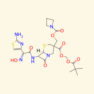 CC(C)(C)C(=O)OCOC(=O)C1(COC(=O)N2CCC2)CS[C@@H]2C(NC(=O)C(=NO)c3csc(N)n3)C(=O)N2C1